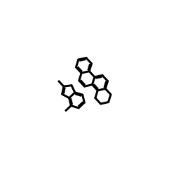 CC1=Cc2c(C)cccc2C1.c1ccc2c(c1)ccc1c3c(ccc12)CCCC3